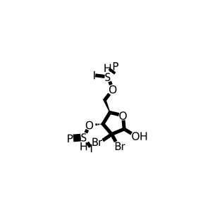 OC1O[C@H](CO[SH](#P)I)[C@@H](O[SH](#P)I)C1(Br)Br